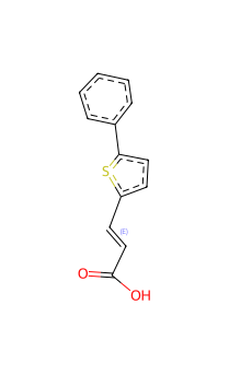 O=C(O)/C=C/c1ccc(-c2ccccc2)s1